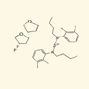 C1CCOC1.C1CCOC1.CCCC[N]([Zr+2][N](CCCC)c1cccc(C)c1C)c1cccc(C)c1C.[F-].[F-]